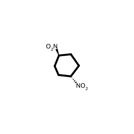 O=[N+]([O-])[C@H]1CC[C@H]([N+](=O)[O-])CC1